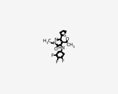 CCn1nc(-c2cccs2)c(C(C)=O)c(Nc2cc(F)c(F)c(F)c2)c1=O